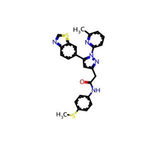 CSc1ccc(NC(=O)Cc2cc(-c3ccc4ncsc4c3)n(-c3cccc(C)n3)n2)cc1